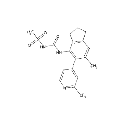 Cc1cc2c(c(NC(=O)NS(C)(=O)=O)c1-c1ccnc(C(F)(F)F)c1)CCC2